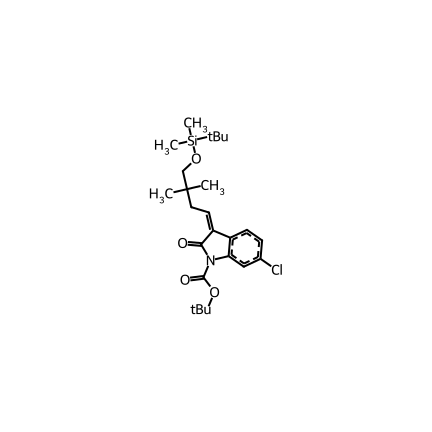 CC(C)(CC=C1C(=O)N(C(=O)OC(C)(C)C)c2cc(Cl)ccc21)CO[Si](C)(C)C(C)(C)C